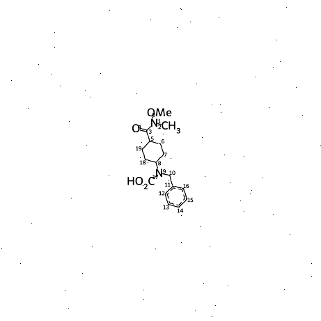 CON(C)C(=O)C1CCC(N(Cc2ccccc2)C(=O)O)CC1